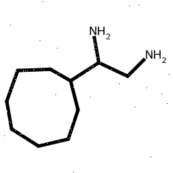 NCC(N)C1CCCCCCC1